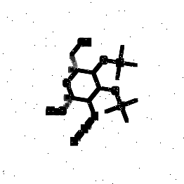 CO[C@@H]1O[C@H](CO)C(O[Si](C)(C)C)C(O[Si](C)(C)C)C1N=[N+]=[N-]